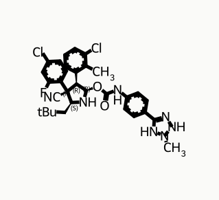 Cc1c(Cl)cccc1[C@H]1[C@@H](OC(=O)Nc2ccc(C3=NNN(C)N3)cc2)N[C@@H](CC(C)(C)C)[C@]1(C#N)c1ccc(Cl)cc1F